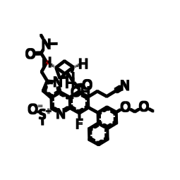 COCOc1cc(-c2c(CCC#N)cc3c(nc([S+](C)[O-])c4cc(CCC(=O)N(C)C)n([C@H]5[C@@H]6C[C@H]5N(C(=O)O)C6)c43)c2F)c2ccccc2c1